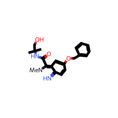 CN/C(C(=O)NC(C)(C)CO)=C1/C=C(OCc2ccccc2)C=CC1=N